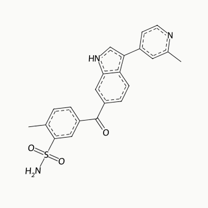 Cc1cc(-c2c[nH]c3cc(C(=O)c4ccc(C)c(S(N)(=O)=O)c4)ccc23)ccn1